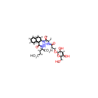 C[C@@H](NC(=O)CCO[C@@H]1OC(CO)C(O)=CC1O)C(=O)Nc1ccc2ccccc2c1C(=O)NC(CCC(=O)O)C(=O)O